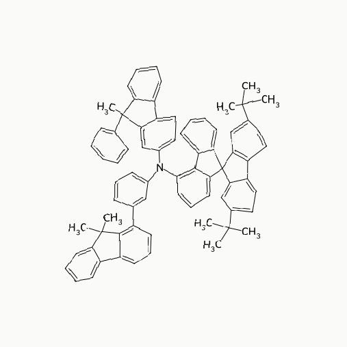 CC(C)(C)c1ccc2c(c1)C1(c3cc(C(C)(C)C)ccc3-2)c2ccccc2-c2c(N(c3cccc(-c4cccc5c4C(C)(C)c4ccccc4-5)c3)c3ccc4c(c3)C(C)(c3ccccc3)c3ccccc3-4)cccc21